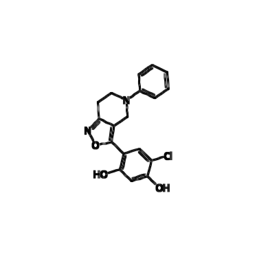 Oc1cc(O)c(-c2onc3c2CN(c2ccccc2)CC3)cc1Cl